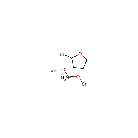 CCC1CCCO1.CCO[SiH2]OCC